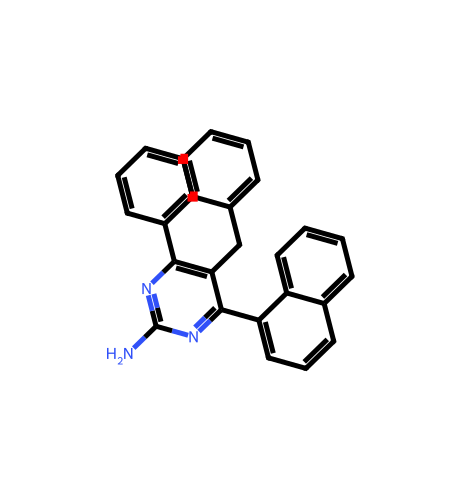 Nc1nc(-c2ccccc2)c(Cc2ccccc2)c(-c2cccc3ccccc23)n1